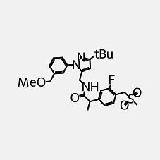 COCc1cccc(-n2nc(C(C)(C)C)cc2CNC(=O)C(C)c2ccc(CS(C)(=O)=O)c(F)c2)c1